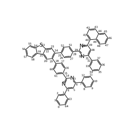 c1ccc(-c2cc(-c3ccccc3)nc(-c3ccc(-c4cc5c(cc4-c4ccc(-c6nc(-c7ccccc7)cc(-c7cccc8ccccc78)n6)cc4)sc4ccccc45)cc3)n2)cc1